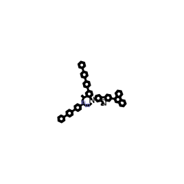 C=C1/C=C(c2ccc(-c3ccc(-c4ccccc4)cc3)cc2)\C=C/CN(c2ccc3c(c2)[Si](C)(C)c2cc(-c4cc5ccccc5c5ccccc45)ccc2-3)c2ccc(-c3ccc(-c4ccc(-c5ccccc5)cc4)cc3)cc21